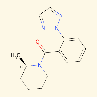 C[C@@H]1CCCCN1C(=O)c1ccccc1-n1nccn1